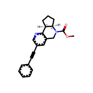 COC(=O)N1Cc2cc(C#Cc3ccccc3)cnc2[C@H]2CCC[C@H]21